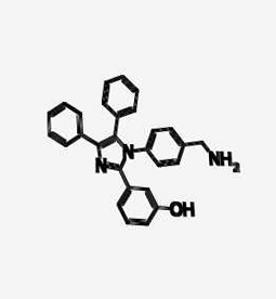 NCc1ccc(-n2c(-c3cccc(O)c3)nc(-c3ccccc3)c2-c2ccccc2)cc1